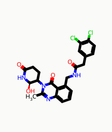 Cc1nc2cccc(CNC(=O)Cc3ccc(Cl)c(Cl)c3)c2c(=O)n1C1CCC(=O)N[C@@H]1O